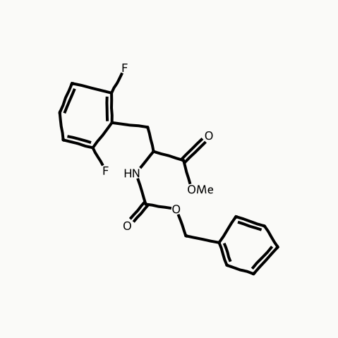 COC(=O)C(Cc1c(F)cccc1F)NC(=O)OCc1ccccc1